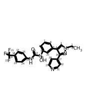 CCn1cc(-c2cccc(N(O)C(=O)Nc3ccc(C(F)(F)F)cc3)c2)c(-c2ccncc2)n1